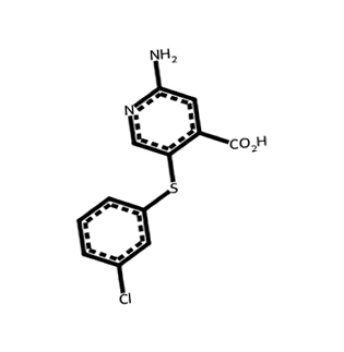 Nc1cc(C(=O)O)c(Sc2cccc(Cl)c2)cn1